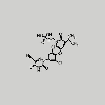 CC(C)c1cc(Oc2c(Cl)cc(-n3nc(C#N)c(=O)[nH]c3=O)cc2Cl)cn(COP(=O)(O)O)c1=O